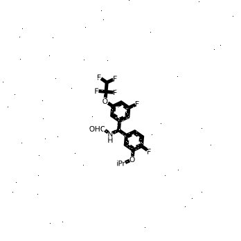 CC(C)Oc1cc(C(NC=O)c2cc(F)cc(OC(F)(F)C(F)F)c2)ccc1F